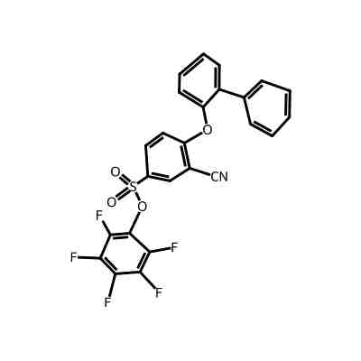 N#Cc1cc(S(=O)(=O)Oc2c(F)c(F)c(F)c(F)c2F)ccc1Oc1ccccc1-c1ccccc1